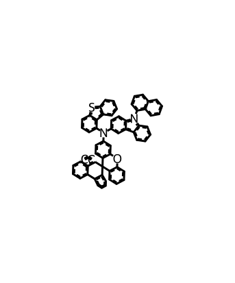 c1ccc2c(c1)Oc1cc(N(c3ccc4c(c3)c3ccccc3n4-c3cccc4ccccc34)c3cccc4sc5ccccc5c34)ccc1C21c2ccccc2-c2cccc3cccc1c23